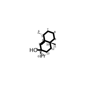 CC(C)[C@@]1(O)C=C2[C@H](C)CCC[C@]2(C)CC1